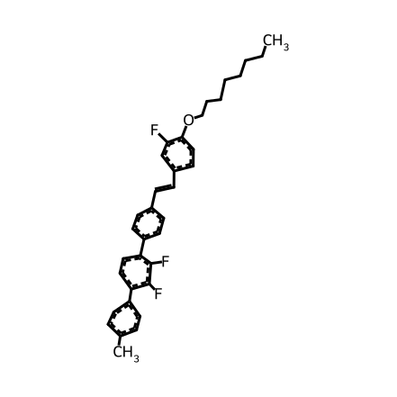 CCCCCCCCOc1ccc(/C=C/c2ccc(-c3ccc(-c4ccc(C)cc4)c(F)c3F)cc2)cc1F